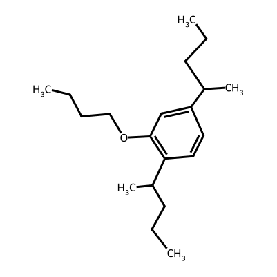 CCCCOc1cc(C(C)CCC)ccc1C(C)CCC